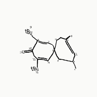 CC1=CC(C)CC2(C=C(C(C)(C)C)C(=O)C(C(C)(C)C)=C2)C1